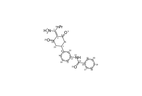 CCCC(N)=C1C(=O)CC(c2cccc(NC(=O)c3ccccc3)c2)CC1=O